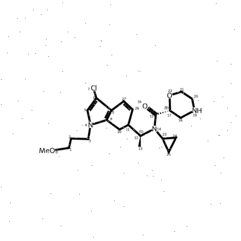 COCCCn1cc(Cl)c2c1CC([C@H](C)N(C(=O)[C@H]1CNCCO1)C1CC1)C=C2